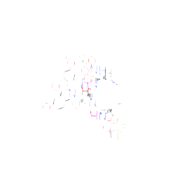 COc1ccc2c(O[C@@H]3C[C@H]4C(=O)N[C@]5(C(=O)NS(=O)(=O)C6(C)CC6)C[C@H]5/C=C\CC[C@H](C)C[C@@H](C)[C@H](NC(=O)O[C@H](C)C(F)(F)F)C(=O)N4C3)nc(-c3ccc(OC(C)C)cc3)c(OC)c2c1